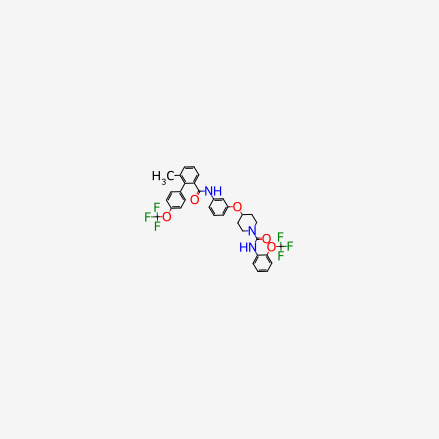 Cc1cccc(C(=O)Nc2cccc(OC3CCN(C(=O)Nc4ccccc4OC(F)(F)F)CC3)c2)c1-c1ccc(OC(F)(F)F)cc1